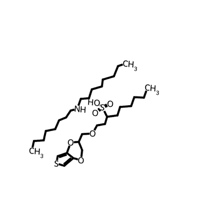 CCCCCCC(CCOCC1COc2cscc2O1)S(=O)(=O)O.CCCCCCCCNCCCCCCCC